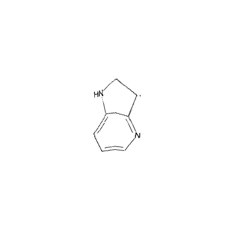 [CH]1CNc2cccnc21